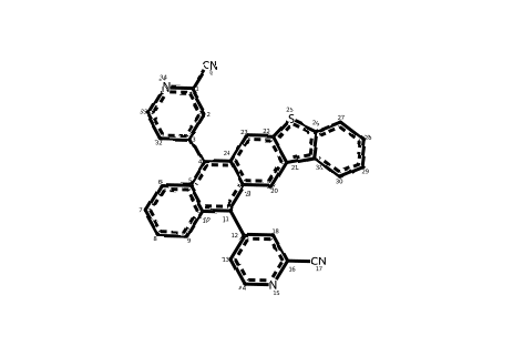 N#Cc1cc(-c2c3ccccc3c(-c3ccnc(C#N)c3)c3cc4c(cc23)sc2ccccc24)ccn1